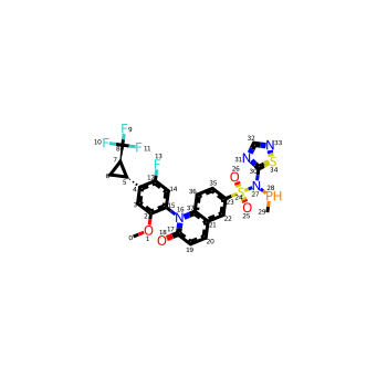 COc1cc([C@@H]2C[C@H]2C(F)(F)F)c(F)cc1-n1c(=O)ccc2cc(S(=O)(=O)N(PC)c3ncns3)ccc21